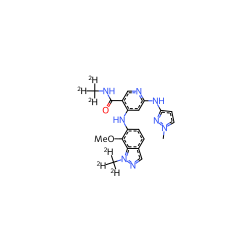 [2H]C([2H])([2H])NC(=O)c1cnc(Nc2ccn(C)n2)cc1Nc1ccc2cnn(C([2H])([2H])[2H])c2c1OC